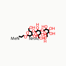 CNCCCOC1OC(CO)C(OC2OC(CO)C(O)C(OC3OC(CO)C(O)C(O)C3O)C2O)C(O)C1NC(C)=O